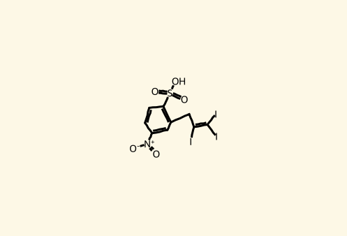 O=[N+]([O-])c1ccc(S(=O)(=O)O)c(CC(I)=C(I)I)c1